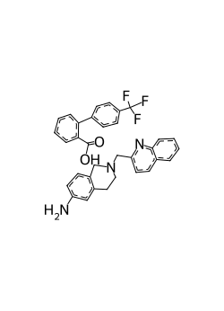 Nc1ccc2c(c1)CCN(Cc1ccc3ccccc3n1)C2.O=C(O)c1ccccc1-c1ccc(C(F)(F)F)cc1